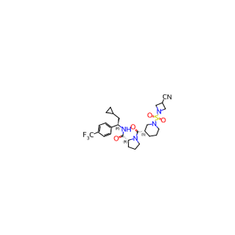 N#CC1CN(S(=O)(=O)N2CCC[C@H](C(=O)N3CCC[C@@H]3C(=O)N[C@H](CC3CC3)c3ccc(C(F)(F)F)cc3)C2)C1